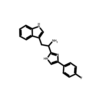 NC(Cc1c[nH]c2ccccc12)c1nc(-c2ccc(F)cc2)c[nH]1